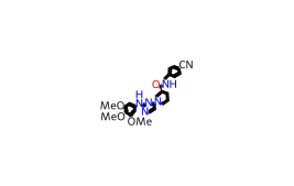 COc1cc(Nc2nccc(N3CCC[C@H](C(=O)NCc4ccc(C#N)cc4)C3)n2)cc(OC)c1OC